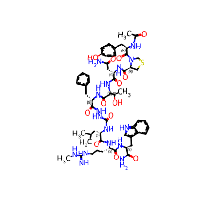 CNC(=N)NCCC[C@H](NC(=O)[C@H](CC(C)C)NC(=O)NNC(=O)[C@H](Cc1ccccc1)NC(=O)[C@@H](NC(=O)[C@H](CC(N)=O)NC(=O)[C@@H]1CSCN1C(=O)[C@@H](Cc1ccc(O)cc1)NC(C)=O)[C@@H](C)O)C(=O)N[C@@H](Cc1c[nH]c2ccccc12)C(N)=O